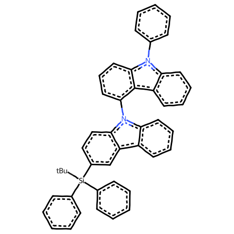 CC(C)(C)[Si](c1ccccc1)(c1ccccc1)c1ccc2c(c1)c1ccccc1n2-c1cccc2c1c1ccccc1n2-c1ccccc1